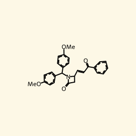 COc1ccc(C(c2ccc(OC)cc2)N2C(=O)CC2C=CC(=O)c2ccccc2)cc1